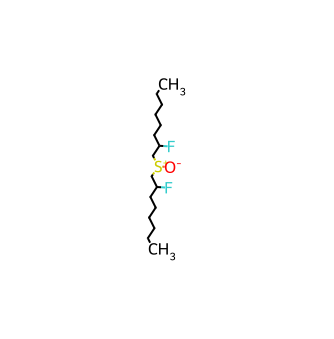 CCCCCCC(F)C[S+]([O-])CC(F)CCCCCC